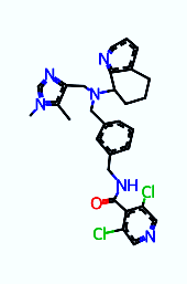 Cc1c(CN(Cc2cccc(CNC(=O)c3c(Cl)cncc3Cl)c2)C2CCCc3cccnc32)ncn1C